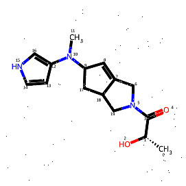 C[C@H](O)C(=O)N1CC2=CC(N(C)c3cc[nH]c3)CC2C1